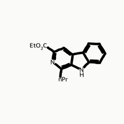 CCCc1nc(C(=O)OCC)cc2c1[nH]c1ccccc12